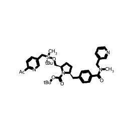 CC(=O)c1ccc(C[Si@@](C)(OC[C@H]2CC[C@@H](Cc3ccc(C(=O)N(C)Cc4cccnc4)cc3)N2C(=O)OC(C)(C)C)C(C)(C)C)cn1